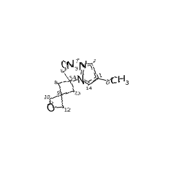 Cc1cnn(C2(CC#N)CC3(COC3)C2)c1